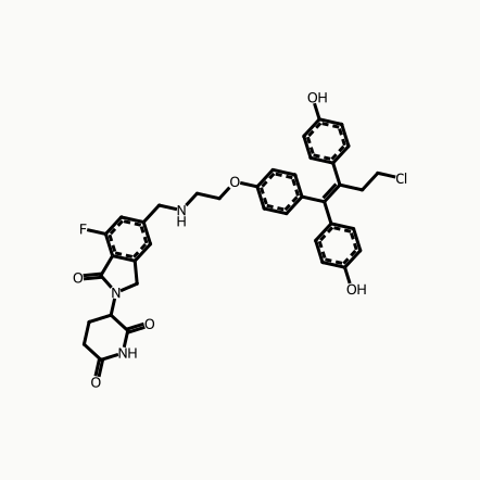 O=C1CCC(N2Cc3cc(CNCCOc4ccc(C(=C(CCCl)c5ccc(O)cc5)c5ccc(O)cc5)cc4)cc(F)c3C2=O)C(=O)N1